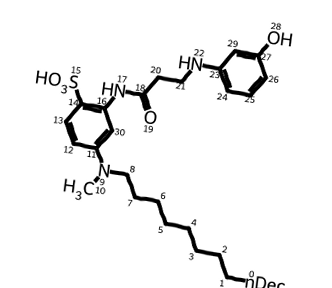 CCCCCCCCCCCCCCCCCCN(C)c1ccc(S(=O)(=O)O)c(NC(=O)CCNc2cccc(O)c2)c1